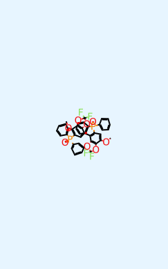 COc1cc(P(=O)(c2ccccc2)c2ccccc2)c(-c2cc(P(=O)(c3ccccc3)c3ccccc3)c(OC)c3c2OC(F)(F)O3)c2c1OC(F)(F)O2